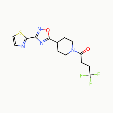 O=C(CCC(F)(F)F)N1CCC(c2nc(-c3nccs3)no2)CC1